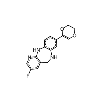 Fc1cnc2c(c1)CNc1cc(C3=COCCO3)ccc1N2